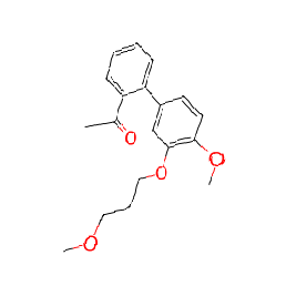 COCCCOc1cc(-c2ccccc2C(C)=O)ccc1OC